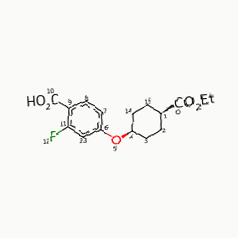 CCOC(=O)[C@H]1CC[C@@H](Oc2ccc(C(=O)O)c(F)c2)CC1